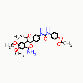 COc1cc(C(N)=O)c(C(Cc2ccc(NC(=O)Nc3ccc(OC(C)=O)cc3)cc2)C(=O)[AsH2])cc1OC